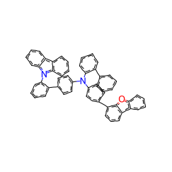 c1ccc(-c2ccccc2N(c2ccc(-c3ccccc3-n3c4ccccc4c4ccccc43)cc2)c2ccc(-c3cccc4c3oc3ccccc34)cc2)cc1